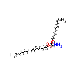 CCCCCCCCC=CCCCCCCCC(=O)OC(CN)COCCCCCCCCCCCC